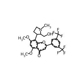 COc1cc(OC)c2c(=O)cc(-c3cc(C(F)(F)F)cc(C(F)(F)F)c3)oc2c1C1CCN(C)C1CO